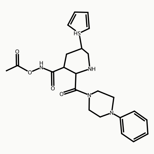 CC(=O)ONC(=O)C1CC([SH]2C=CC=C2)CNC1C(=O)N1CCN(c2ccccc2)CC1